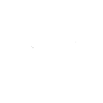 Cc1cc2ccc(CN3CCOCC3)cc2c(=O)[nH]1